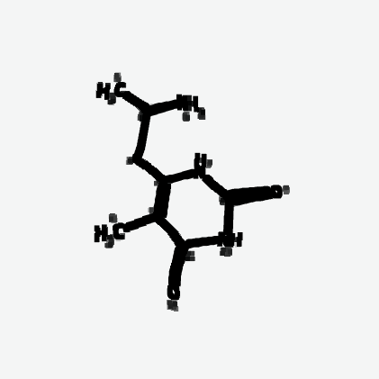 Cc1c(CC(C)N)[nH]c(=O)[nH]c1=O